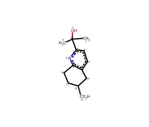 CC(C)(O)c1ccc2c(n1)CCC(C(=O)O)C2